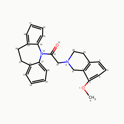 COc1cccc2c1CN(CC(=O)N1c3ccccc3CCc3ccccc31)CC2